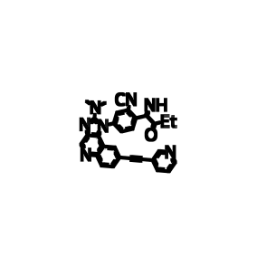 CCC(=O)C(=N)c1ccc(-n2c(N(C)C)nc3cnc4ccc(C#Cc5cccnc5)cc4c32)cc1C#N